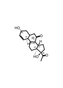 CC(=O)[C@@]1(O)CC[C@H]2[C@@H]3C(=O)CC4C[C@@H](O)C=C[C@]4(C)[C@H]3CC[C@@]21C